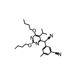 CCCCOc1nc(OCCCC)c(C(C)C)c(C(C#N)c2cc(C)cc(C#N)c2)n1